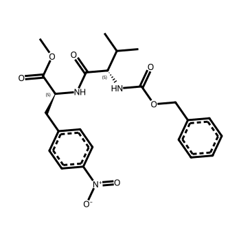 COC(=O)[C@H](Cc1ccc([N+](=O)[O-])cc1)NC(=O)[C@@H](NC(=O)OCc1ccccc1)C(C)C